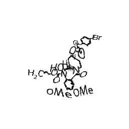 C=CCOC(=O)N1c2cc(OC)c(OC)cc2C(=O)N2CC[C@@H](OS(=O)(=O)c3ccc(Br)cc3)C[C@H]2C1O